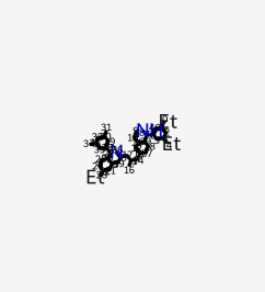 CCc1cc(CC)cc(C2NC=Cc3cc(CC(C)Cc4cc5cc(CC)ccc5c(-c5cc(C)cc(C)c5)n4)ccc32)c1